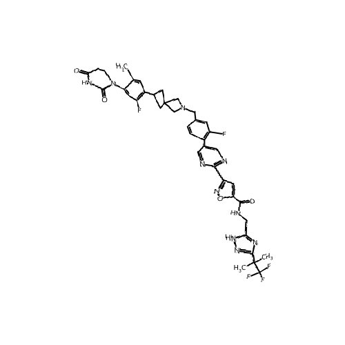 Cc1cc(C2CC3(C2)CN(Cc2ccc(-c4cnc(-c5cc(C(=O)NCc6nc(C(C)(C)C(F)(F)F)n[nH]6)on5)nc4)c(F)c2)C3)c(F)cc1N1CCC(=O)NC1=O